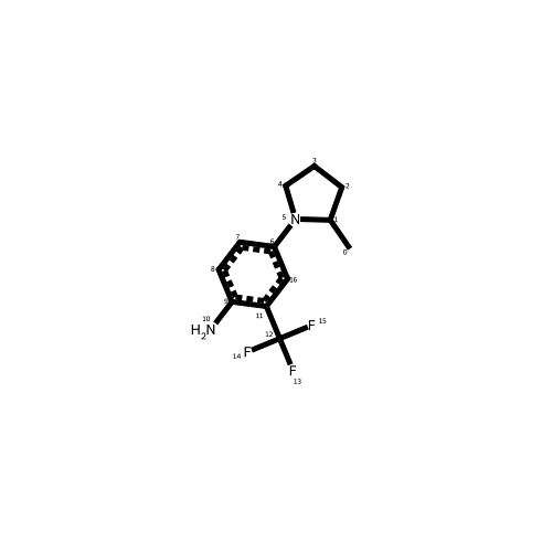 CC1CCCN1c1ccc(N)c(C(F)(F)F)c1